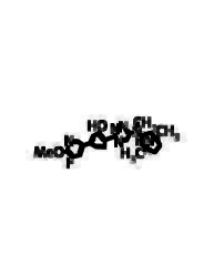 COc1ncc(-c2ccc(-c3ncc(N(C)[C@H]4C[C@]5(C)CC[C@](C)(C4)N5)nn3)c(O)c2)cc1F